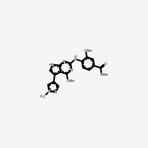 CNC(=O)c1ccc(Nc2nc(OC)c3c(-c4cnn(C)c4)c[nH]c3n2)c(OC)c1